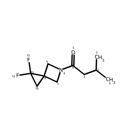 CC(C)CC(=O)N1CC2(C1)CC2(F)F